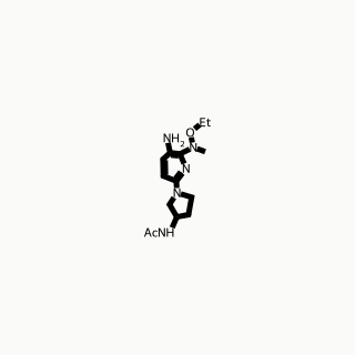 CCON(C)c1nc(N2CCC(NC(C)=O)C2)ccc1N